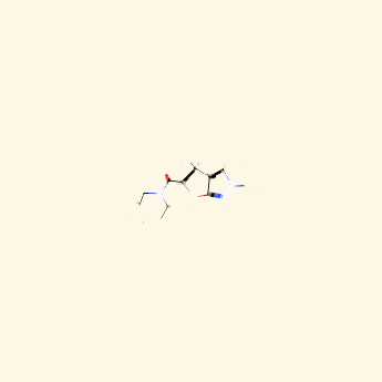 CCN(CC)C(=O)c1oc2nn(C)c(C)c2c1C